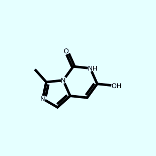 Cc1ncc2cc(O)[nH]c(=O)n12